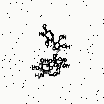 N[C@H]1[C@H](O)[C@@H](O)[C@H](OP(=O)(OC[C@@H]2O[C@H](n3ccc(=O)[nH]c3=O)C(O)C2O)OP(=O)(O)O)O[C@@H]1CO